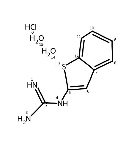 Cl.N=C(N)Nc1cc2ccccc2s1.O.O